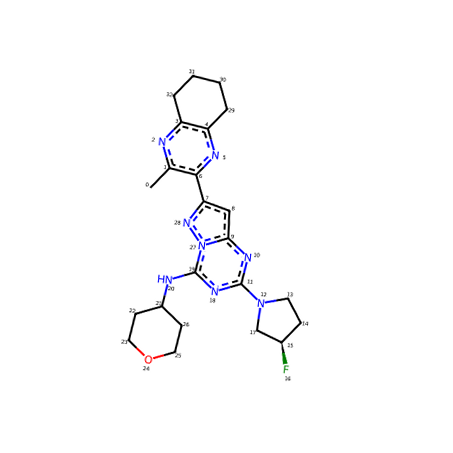 Cc1nc2c(nc1-c1cc3nc(N4CC[C@@H](F)C4)nc(NC4CCOCC4)n3n1)CCCC2